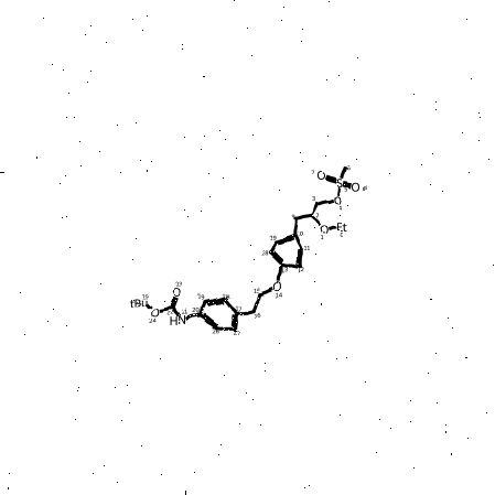 CCO[C@H](COS(C)(=O)=O)Cc1ccc(OCCc2ccc(NC(=O)OC(C)(C)C)cc2)cc1